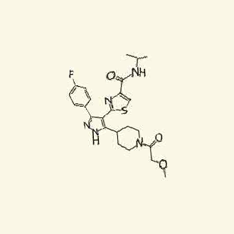 COCC(=O)N1CCC(c2[nH]nc(-c3ccc(F)cc3)c2-c2nc(C(=O)NC(C)C)cs2)CC1